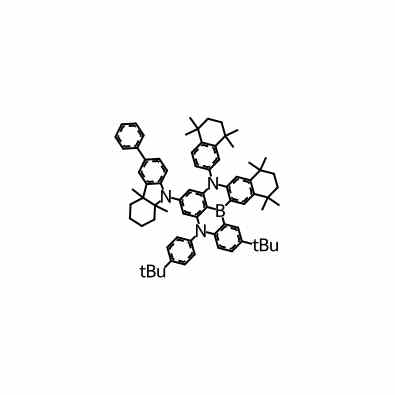 CC(C)(C)c1ccc(N2c3ccc(C(C)(C)C)cc3B3c4cc5c(cc4N(c4ccc6c(c4)C(C)(C)CCC6(C)C)c4cc(N6c7ccc(-c8ccccc8)cc7C7(C)CCCCC67C)cc2c43)C(C)(C)CCC5(C)C)cc1